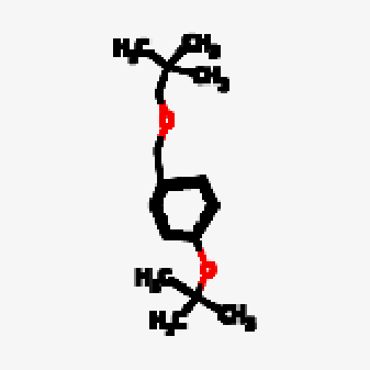 CC(C)(C)COCc1ccc(OC(C)(C)C)cc1